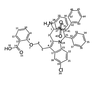 NC(Cc1c(CCOc2ccccc2C(=O)O)c2cc(Cl)ccc2n1C(c1ccccc1)c1ccccc1)S(=O)(=O)Cc1ccccc1